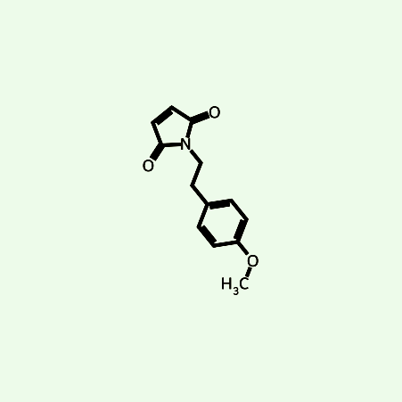 COc1ccc(CCN2C(=O)C=CC2=O)cc1